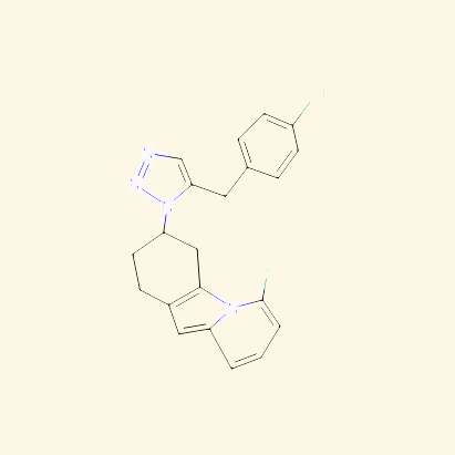 Fc1cccc2[c]c3c(n12)CC(n1nncc1Cc1ccc(Cl)cc1)CC3